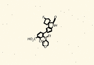 CCN(c1c(-c2ccc3c(c2)C2(CCC(F)CC2)C(=C=O)N3)ccc(C(=O)O)c1C)C1CCOCC1